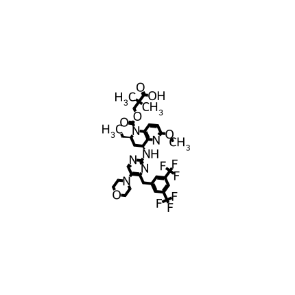 CC[C@@H]1C[C@H](Nc2ncc(N3CCOCC3)c(Cc3cc(C(F)(F)F)cc(C(F)(F)F)c3)n2)c2nc(OC)ccc2N1C(=O)OCC(C)(C)C(=O)O